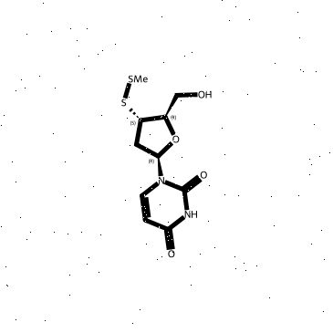 CSS[C@H]1C[C@H](n2ccc(=O)[nH]c2=O)O[C@@H]1CO